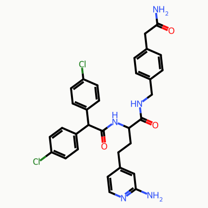 NC(=O)Cc1ccc(CNC(=O)C(CCc2ccnc(N)c2)NC(=O)C(c2ccc(Cl)cc2)c2ccc(Cl)cc2)cc1